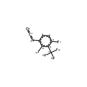 O=C=Nc1ccc(F)c(C(F)(F)F)c1I